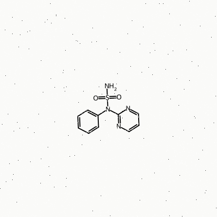 NS(=O)(=O)N(c1ccccc1)c1ncccn1